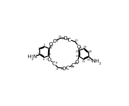 Nc1ccc2c(c1)OCCOCCOc1cc(N)ccc1OCCOCCO2